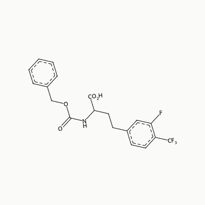 O=C(NC(CCc1ccc(C(F)(F)F)c(F)c1)C(=O)O)OCc1ccccc1